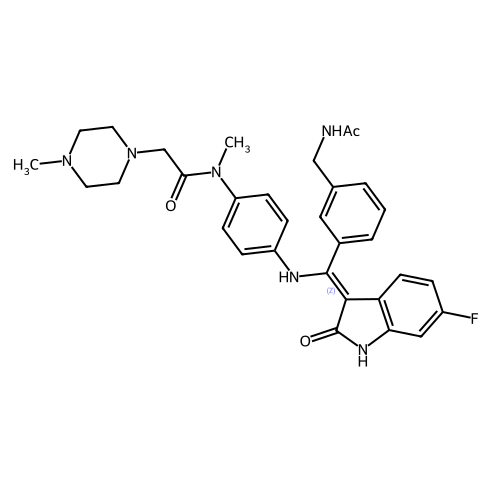 CC(=O)NCc1cccc(/C(Nc2ccc(N(C)C(=O)CN3CCN(C)CC3)cc2)=C2/C(=O)Nc3cc(F)ccc32)c1